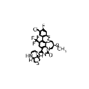 CO[C@@H]1CSc2c(-c3cc(Cl)c(F)cc3F)c(C(F)(F)F)cc3c(N4CCN[C@H]5CSC[C@H]54)nc(=O)n(c23)C1